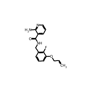 C=CCOc1cccc(CNC(=O)c2cccnc2N)c1F